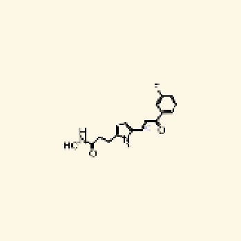 Cn1c(/C=C/C(=O)c2cccc(F)c2)ccc1CCC(=O)NO